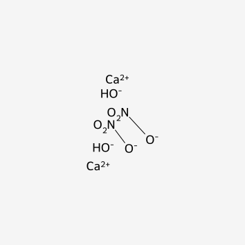 O=[N+]([O-])[O-].O=[N+]([O-])[O-].[Ca+2].[Ca+2].[OH-].[OH-]